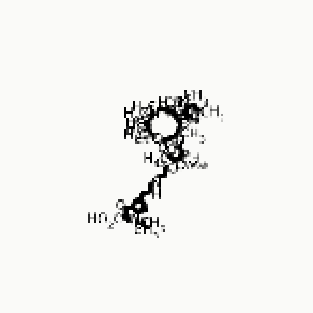 CC[C@H]1OC(=O)[C@H](C)[C@@H](O[C@H]2C[C@@](C)(OC)[C@@H](OC(=O)CCNCCCc3ccc4c(c3)c(=O)c(C(=O)O)cn4N(C)C)[C@H](C)O2)[C@H](C)[C@@H](O[C@@H]2O[C@H](C)C[C@H](N(C)C)[C@H]2O)[C@](C)(O)C[C@@H](C)CN(C)[C@H](C)[C@@H](O)[C@]1(C)O